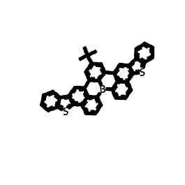 CC(C)(C)c1cc2c3c(c1)-c1cc4c5ccccc5sc4c4cccc(c14)B3c1cccc3c1c-2cc1c2ccccc2sc31